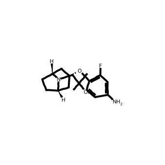 CC(C)(O)CN1[C@@H]2CC[C@H]1C[C@@H](Oc1ccc(N)cc1F)C2